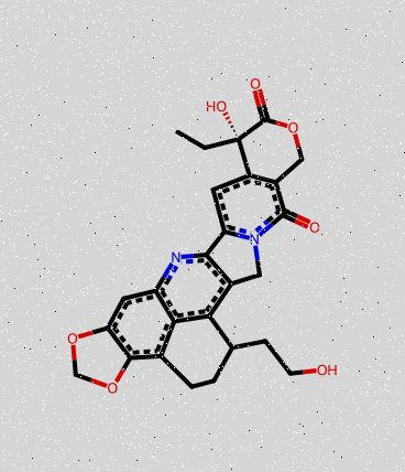 CC[C@@]1(O)C(=O)OCc2c1cc1n(c2=O)Cc2c-1nc1cc3c(c4c1c2C(CCO)CC4)OCO3